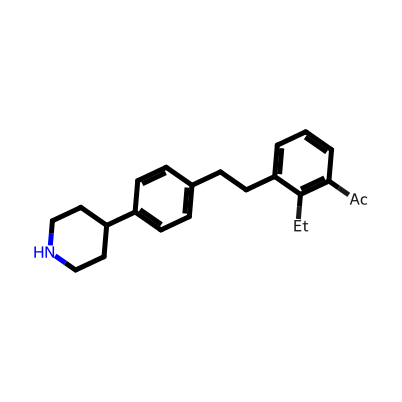 CCc1c(CCc2ccc(C3CCNCC3)cc2)cccc1C(C)=O